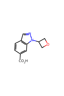 O=C(O)c1ccc2cnn(C3COC3)c2c1